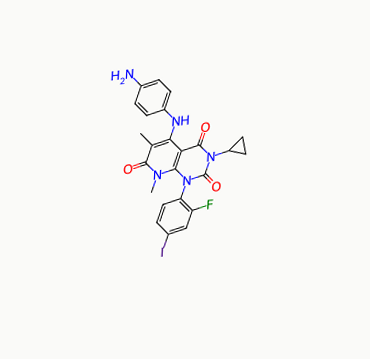 Cc1c(Nc2ccc(N)cc2)c2c(=O)n(C3CC3)c(=O)n(-c3ccc(I)cc3F)c2n(C)c1=O